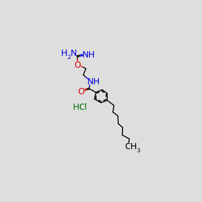 CCCCCCCCc1ccc(C(=O)NCCOC(=N)N)cc1.Cl